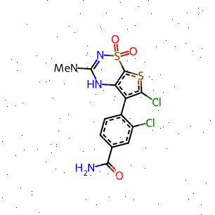 CNC1=NS(=O)(=O)c2sc(Cl)c(-c3ccc(C(N)=O)cc3Cl)c2N1